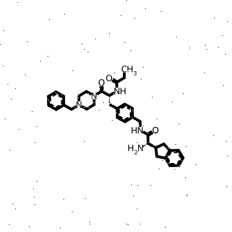 CCC(=O)N[C@H](Cc1ccc(CNC(=O)[C@@H](N)C2Cc3ccccc3C2)cc1)C(=O)N1CCN(Cc2ccccc2)CC1